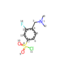 CN(C)Cc1ccc(S(=O)(=O)Cl)cc1F